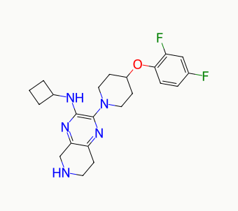 Fc1ccc(OC2CCN(c3nc4c(nc3NC3CCC3)CNCC4)CC2)c(F)c1